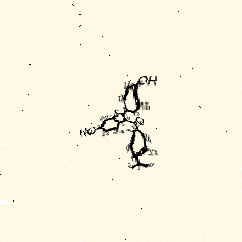 C=C(C)c1ccc(C(=O)c2c(-c3ccc(O)cc3)sc3cc(O)ccc23)cc1